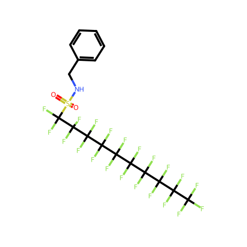 O=S(=O)(NCc1ccccc1)C(F)(F)C(F)(F)C(F)(F)C(F)(F)C(F)(F)C(F)(F)C(F)(F)C(F)(F)C(F)(F)C(F)(F)F